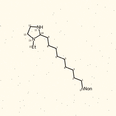 CCCCCCCCCCCCCCCCCCC1NCCN1CC